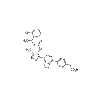 Cc1noc(-c2ccc(-c3ccc(CC(=O)O)cc3)c3c2CC3)c1NC(=O)OC(C)c1ccccc1Cl